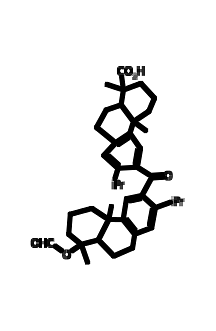 CC(C)c1cc2c(cc1C(=O)c1cc3c(cc1C(C)C)CCC1C(C)(C(=O)O)CCCC31C)C1(C)CCCC(C)(OC=O)C1CC2